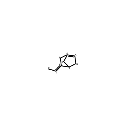 CC=C1CC2=CCC1C2